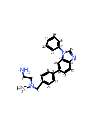 CN(CCN)Cc1ccc(-c2ccc3ncn(-c4ccccc4)c3c2)cc1